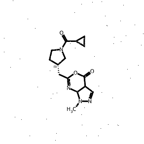 CN1N=CC2C(=O)OC(C[C@@H]3CCN(C(=O)C4CC4)C3)=NC21